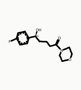 O=C(CCC[C@H](O)c1ccc(F)cc1)N1CCOCC1